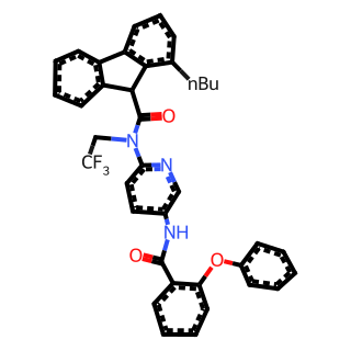 CCCCc1cccc2c1C(C(=O)N(CC(F)(F)F)c1ccc(NC(=O)c3ccccc3Oc3ccccc3)cn1)c1ccccc1-2